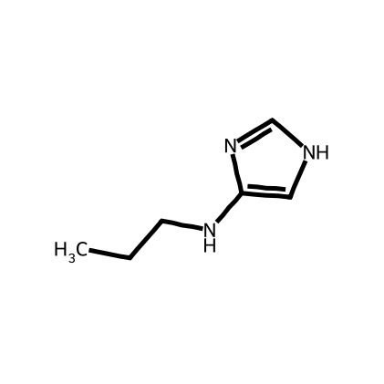 CCCNc1c[nH]cn1